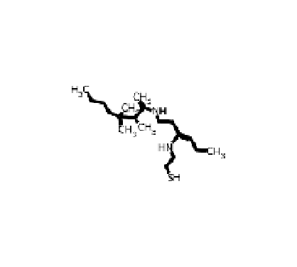 C=C(NCCC(=CCC)NCCS)[C@@H](C)C(C)(C)CCCC